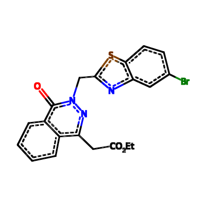 CCOC(=O)Cc1nn(Cc2nc3cc(Br)ccc3s2)c(=O)c2ccccc12